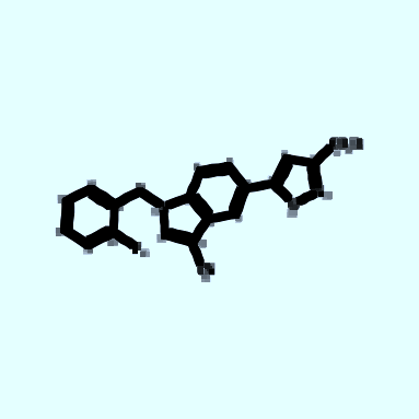 CCOC(=O)c1cc(-c2ccc3c(c2)c(C#N)cn3Cc2ccccc2F)on1